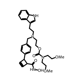 COCCN(CCOC)C(=O)OCCN(CCc1c[nH]c2ccccc12)Cc1ccc(C2C#CC2C(=O)NO)cc1